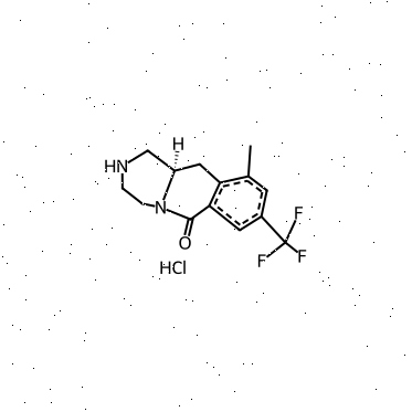 Cc1cc(C(F)(F)F)cc2c1C[C@@H]1CNCCN1C2=O.Cl